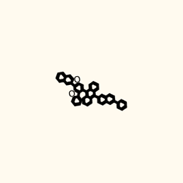 c1ccc(-c2ccc3cc(-c4c5ccccc5c(-c5cc6oc7cc8ccccc8cc7c6c6oc7ccccc7c56)c5ccccc45)ccc3c2)cc1